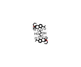 CC(=O)c1ccc2c(c1OC(=O)C(O)C(O)C(=O)Oc1c(C(C)=O)ccc3c1C[C@@H]1[C@@H]4CCCC[C@]34CCN1C)C[C@@H]1[C@@H]3CCCC[C@]23CCN1C